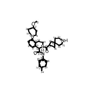 COC1CCN(c2cccc3c2CCN(C(=O)C2CC4(CCNCC4)C2)C3C(=O)Nc2ccc(C)cc2)CC1